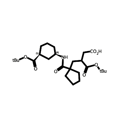 CC(C)(C)OC(=O)C(CC(=O)O)CC1(C(=O)N[C@@H]2CCC[C@H](C(=O)OC(C)(C)C)C2)CCCC1